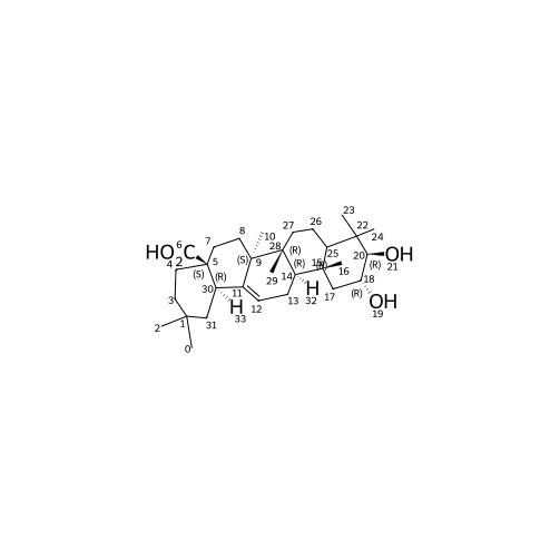 CC1(C)CC[C@]2(C(=O)O)CC[C@]3(C)C(=CC[C@@H]4[C@@]5(C)C[C@@H](O)[C@H](O)C(C)(C)C5CC[C@]43C)[C@H]2C1